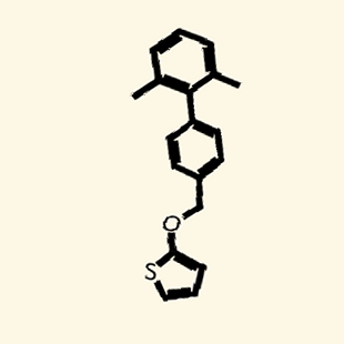 Cc1cccc(C)c1-c1ccc(COc2cccs2)cc1